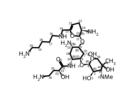 CN[C@@H]1[C@@H](O)[C@@H](O[C@@H]2[C@@H](O)[C@H](O[C@H]3OC(CNCCCCCN)=CC[C@H]3N)[C@@H](N)C[C@H]2NC(=O)[C@@H](O)CCN)OC[C@]1(C)O